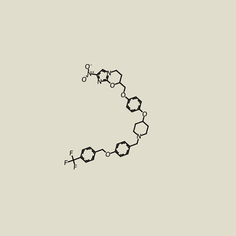 O=[N+]([O-])c1cn2c(n1)OC(COc1ccc(OC3CCN(Cc4ccc(OCc5ccc(C(F)(F)F)cc5)cc4)CC3)cc1)CC2